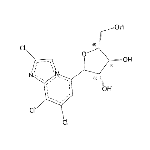 OC[C@H]1OC(c2cc(Cl)c(Cl)c3nc(Cl)cn23)[C@@H](O)[C@H]1O